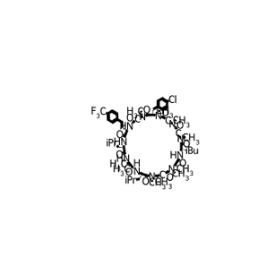 CCC(C)[C@@H]1NC(=O)[C@H](C)N(C)C(=O)C[C@@H](C)N(C)C(=O)[C@H](CC(C)C)NC(=O)C(C)(C)NC(=O)[C@H](CC(C)C)NC(=O)[C@H](CCc2ccc(C(F)(F)F)cc2)NC(=O)CN(C)C(=O)[C@H](Cc2ccc(Cl)cc2)N(C)C(=O)CN(C)C(=O)CN(C)C1=O